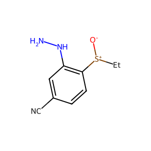 CC[S+]([O-])c1ccc(C#N)cc1NN